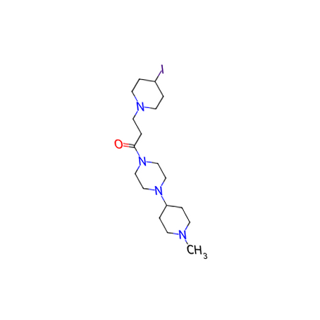 CN1CCC(N2CCN(C(=O)CCN3CCC(I)CC3)CC2)CC1